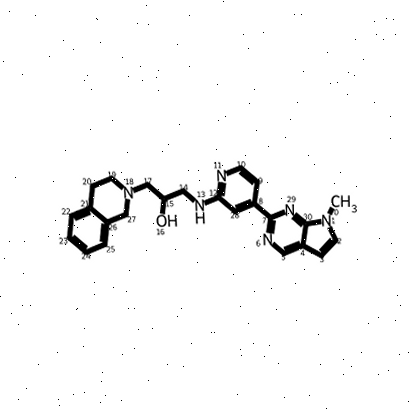 Cn1ccc2cnc(-c3ccnc(NCC(O)CN4CCc5ccccc5C4)c3)nc21